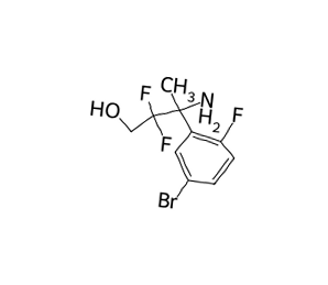 CC(N)(c1cc(Br)ccc1F)C(F)(F)CO